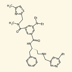 CCN(CC)c1cc(C(=O)N[C@H](CCNCc2cncc(C(C)C)c2)Cc2ccccc2)cc(C(=O)N(C)Cc2nc(C)cs2)c1